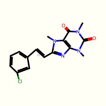 Cn1c(=O)c2c(nc(/C=C/c3cccc(Cl)c3)n2C)n(C)c1=O